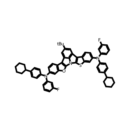 CC(C)(C)c1cc2c3c4ccc(N(c5ccc(C6CCCCC6)cc5)c5cccc(F)c5)cc4oc3n3c4sc5cc(N(c6ccc(C7CCCCC7)cc6)c6cccc(F)c6)ccc5c4c(c1)c23